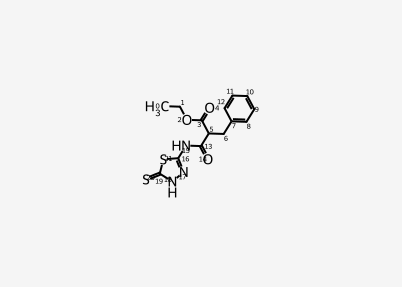 CCOC(=O)C(Cc1ccccc1)C(=O)Nc1n[nH]c(=S)s1